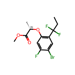 CCC(F)(F)c1cc(Br)c(F)cc1O[C@@H](C)C(=O)OC